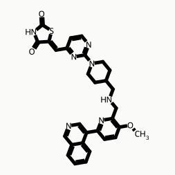 COc1ccc(-c2cncc3ccccc23)nc1CNCC1CCN(c2nccc(/C=C3\SC(=O)NC3=O)n2)CC1